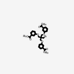 CC(C)COC(=O)c1cccc(OCC(CBr)(COc2cccc(C(=O)OCC(C)C)c2)COc2cccc(C(=O)OCC(C)C)c2)c1